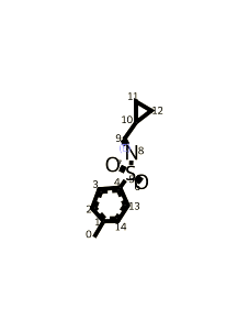 Cc1ccc(S(=O)(=O)/N=C/C2CC2)cc1